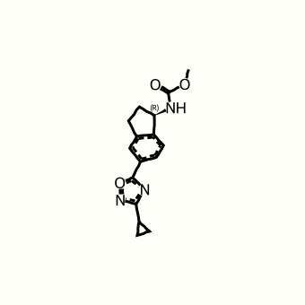 COC(=O)N[C@@H]1CCc2cc(-c3nc(C4CC4)no3)ccc21